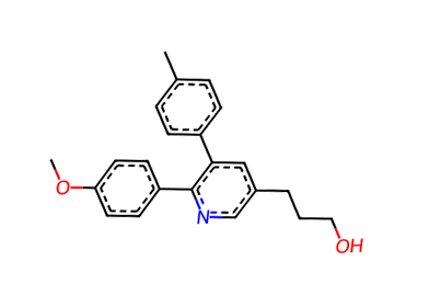 COc1ccc(-c2ncc(CCCO)cc2-c2ccc(C)cc2)cc1